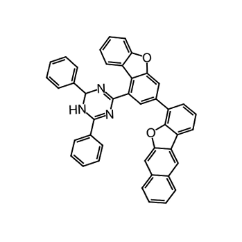 c1ccc(C2=NC(c3cc(-c4cccc5c4oc4cc6ccccc6cc45)cc4oc5ccccc5c34)=NC(c3ccccc3)N2)cc1